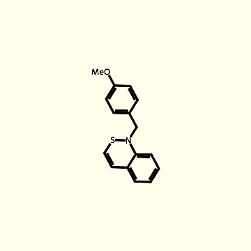 COc1ccc(CN2SC=Cc3ccccc32)cc1